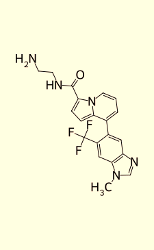 Cn1cnc2cc(-c3cccn4c(C(=O)NCCN)ccc34)c(C(F)(F)F)cc21